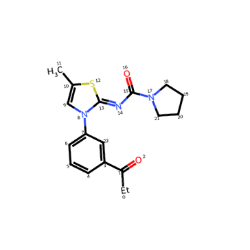 CCC(=O)c1cccc(-n2cc(C)sc2=NC(=O)N2CCCC2)c1